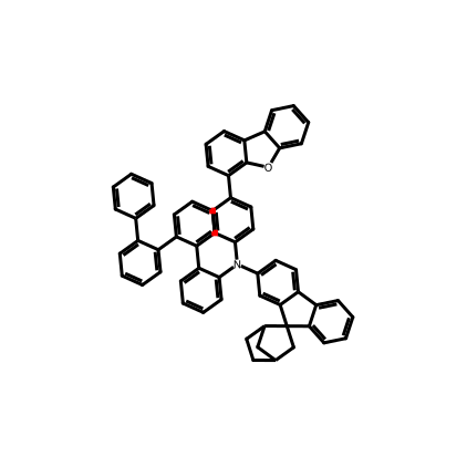 c1ccc(-c2ccccc2-c2ccccc2-c2ccccc2N(c2ccc(-c3cccc4c3oc3ccccc34)cc2)c2ccc3c(c2)C2(CC4CCC2C4)c2ccccc2-3)cc1